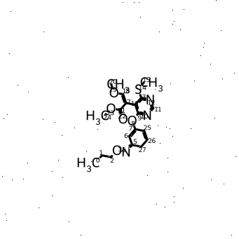 CCCON=C1C=C(Oc2ncnc(SC)c2C(=COC)C(=O)OC)C=CC1